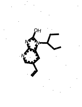 C=Cc1cnc2nc(O)n(C(CC)CC)c2c1